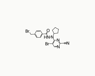 N#Cc1ncc(Br)c(N(NC(=O)c2ccc(CBr)cc2)C2CCCC2)n1